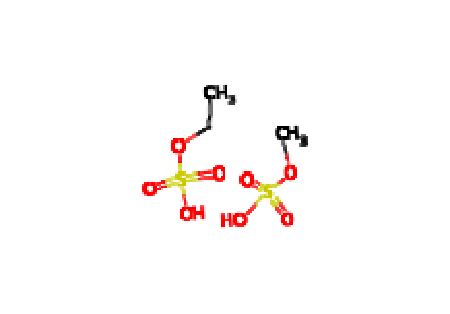 CCOS(=O)(=O)O.COS(=O)(=O)O